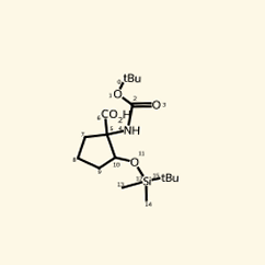 CC(C)(C)OC(=O)NC1(C(=O)O)CCCC1O[Si](C)(C)C(C)(C)C